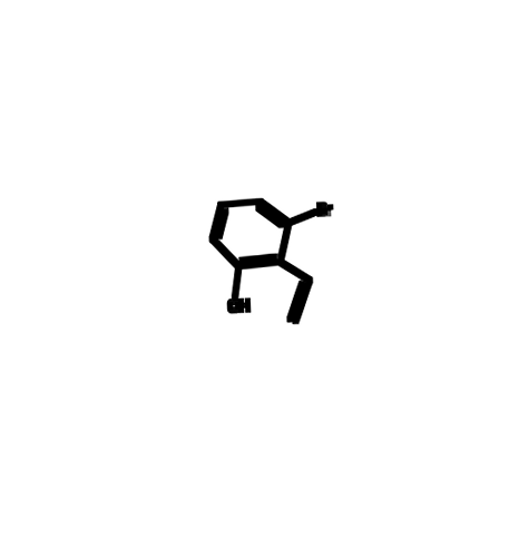 C=Cc1c(O)cccc1Br